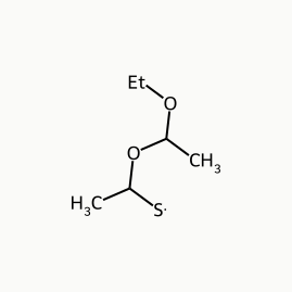 CCOC(C)OC(C)[S]